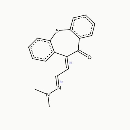 CN(C)/N=C/C=C1/C(=O)c2ccccc2Sc2ccccc21